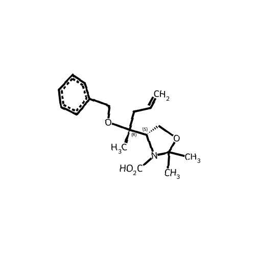 C=CC[C@@](C)(OCc1ccccc1)[C@@H]1COC(C)(C)N1C(=O)O